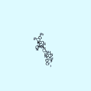 CC(C)c1ccc(-c2nnc(N[C@@H]3CCCN(C)C3)c3c(C(O)CN4CCC[C@@H](Nc5nnc(-c6ccc(C(F)(F)F)cc6OC(F)F)c6ccncc56)C4)nccc23)c(C(C)C)c1